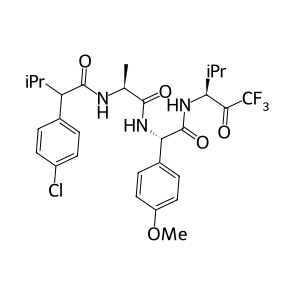 COc1ccc([C@H](NC(=O)[C@H](C)NC(=O)C(c2ccc(Cl)cc2)C(C)C)C(=O)N[C@H](C(=O)C(F)(F)F)C(C)C)cc1